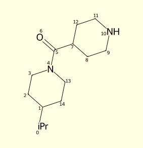 CC(C)C1CCN(C(=O)C2CCNCC2)CC1